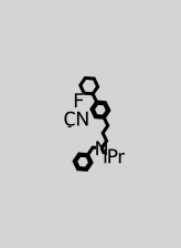 CC#N.CC(C)N(CCCc1ccc(C2CCCCC2F)cc1)Cc1ccccc1